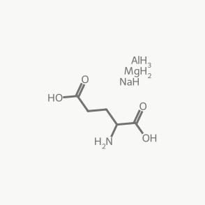 NC(CCC(=O)O)C(=O)O.[AlH3].[MgH2].[NaH]